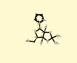 CC1(C)O[C@@H]2[C@H](O1)[C@@H](CO)O[C@H]2n1cccn1